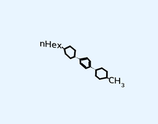 CCCCCC[C@H]1CC[C@H](c2ccc([C@H]3CC[C@H](C)CC3)cc2)CC1